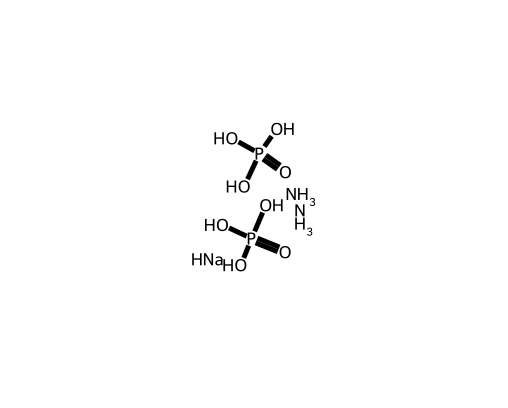 N.N.O=P(O)(O)O.O=P(O)(O)O.[NaH]